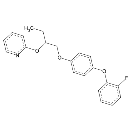 CCC(COc1ccc(Oc2ccccc2F)cc1)Oc1ccccn1